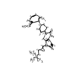 COc1nccc(C)c1N1CCC(N2Cc3c(cnn3COCC[Si](C)(C)C)NC2=O)CC1